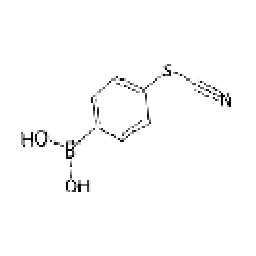 N#CSc1ccc(B(O)O)cc1